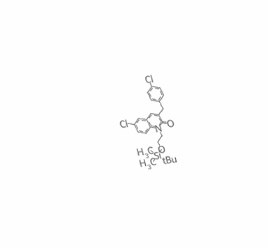 CC(C)(C)[Si](C)(C)OCCn1c(=O)c(Cc2ccc(Cl)cc2)cc2cc(Cl)ccc21